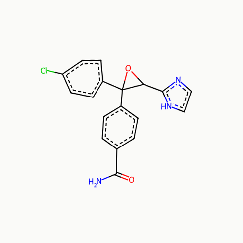 NC(=O)c1ccc(C2(c3ccc(Cl)cc3)OC2c2ncc[nH]2)cc1